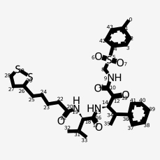 Cc1ccc(S(=O)(=O)CNC(=O)C(=O)[C@@H](NC(=O)[C@@H](NC(=O)CCCCC2CCSS2)C(C)C)C(C)c2ccccc2)cc1